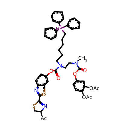 CC(=O)Oc1ccc(OC(=O)N(C)CCN(CCCCCC[PH](c2ccccc2)(c2ccccc2)c2ccccc2)C(=O)Oc2ccc3nc(C4=NC(C(C)=O)CS4)sc3c2)cc1OC(C)=O